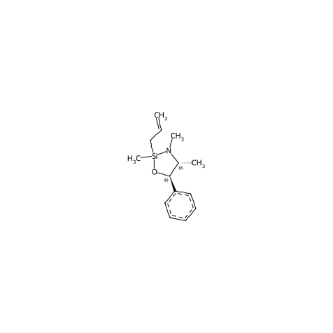 C=CC[Si]1(C)O[C@H](c2ccccc2)[C@@H](C)N1C